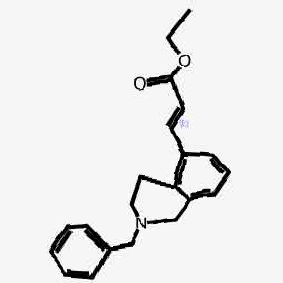 CCOC(=O)/C=C/c1cccc2c1CCN(Cc1ccccc1)C2